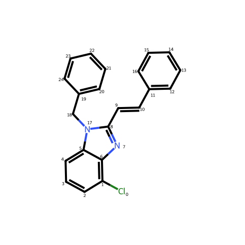 Clc1cccc2c1nc(C=Cc1ccccc1)n2Cc1ccccc1